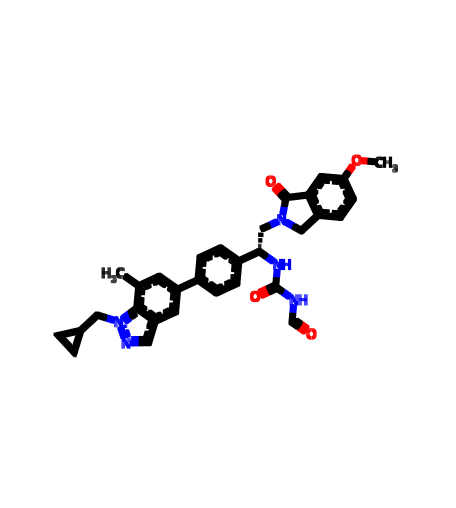 COc1ccc2c(c1)C(=O)N(C[C@H](NC(=O)NC=O)c1ccc(-c3cc(C)c4c(cnn4CC4CC4)c3)cc1)C2